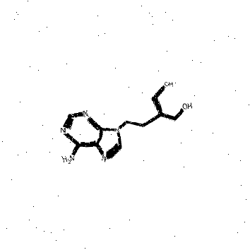 Nc1ncnc2c1ncn2CCC(CO)CO